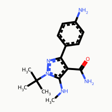 CNc1c(C(N)=O)c(-c2ccc(N)cc2)nn1C(C)(C)C